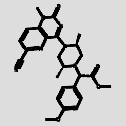 COC(=O)C(c1ccc(OC)cc1)N1C[C@H](C)N(c2nc(=O)n(C)c3ccc(C#N)nc23)C[C@H]1C